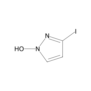 On1ccc(I)n1